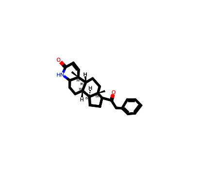 C[C@]12C=CC(=O)NC1CC[C@@H]1[C@H]2CC[C@]2(C)C(C(=O)Cc3ccccc3)CC[C@@H]12